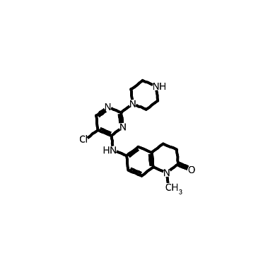 CN1C(=O)CCc2cc(Nc3nc(N4CCNCC4)ncc3Cl)ccc21